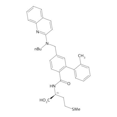 CCCCN(Cc1ccc(C(=O)N[C@@H](CCSC)C(=O)O)c(-c2ccccc2C)c1)c1ccc2ccccc2n1